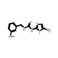 COc1cccc(CNC(=O)Nc2ncc([N+](=O)[O-])s2)c1